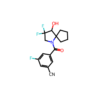 N#Cc1cc(F)cc(C(=O)N2CC(F)(F)C(O)C23CCCC3)c1